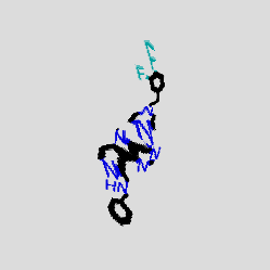 Cn1c2ccnc(CNCc3ccccc3)c2c2ncnc(N3CCN(CCc4ccc(F)c(F)c4)CC3)c21